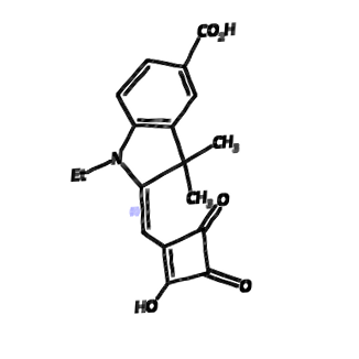 CCN1/C(=C/c2c(O)c(=O)c2=O)C(C)(C)c2cc(C(=O)O)ccc21